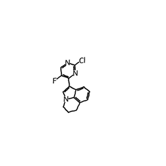 Fc1cnc(Cl)nc1-c1cn2c3c(cccc13)CCC2